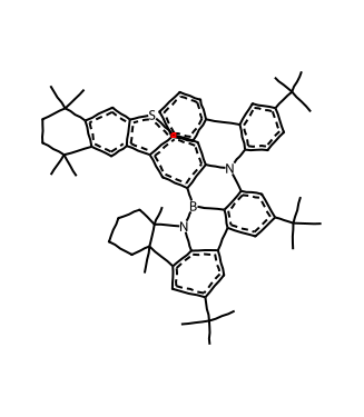 CC(C)(C)c1ccc(N2c3cc4sc5cc6c(cc5c4cc3B3c4c(cc(C(C)(C)C)cc42)-c2cc(C(C)(C)C)cc4c2N3C2(C)CCCCC42C)C(C)(C)CCC6(C)C)c(-c2ccccc2)c1